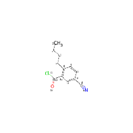 CCCCc1ccc(C#N)cc1C(=O)Cl